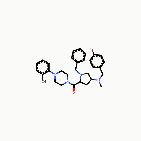 CN(Cc1ccc(Br)cc1)C1CC(C(=O)N2CCN(c3ccccc3C#N)CC2)N(Cc2ccccc2)C1